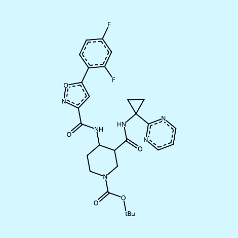 CC(C)(C)OC(=O)N1CCC(NC(=O)c2cc(-c3ccc(F)cc3F)on2)C(C(=O)NC2(c3ncccn3)CC2)C1